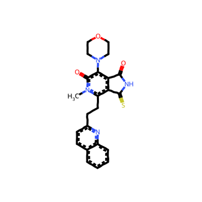 Cn1c(CCc2ccc3ccccc3n2)c2c(c(N3CCOCC3)c1=O)C(=O)NC2=S